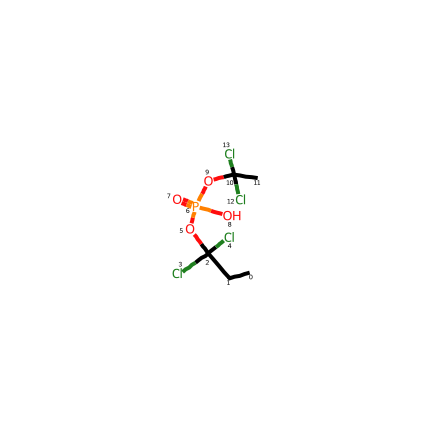 CCC(Cl)(Cl)OP(=O)(O)OC(C)(Cl)Cl